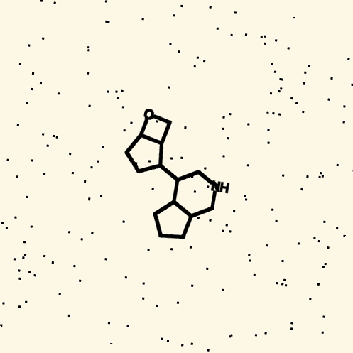 C1CC2CNCC(C3CCC4OCC43)C2C1